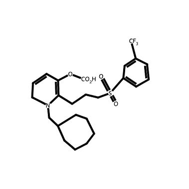 O=C(O)OC1=C(CCCS(=O)(=O)c2cccc(C(F)(F)F)c2)N(CC2CCCCCC2)CC=C1